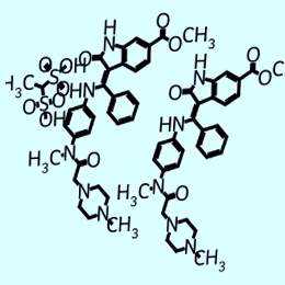 CC(S(=O)(=O)O)S(=O)(=O)O.COC(=O)c1ccc2c(c1)NC(=O)/C2=C(\Nc1ccc(N(C)C(=O)CN2CCN(C)CC2)cc1)c1ccccc1.COC(=O)c1ccc2c(c1)NC(=O)/C2=C(\Nc1ccc(N(C)C(=O)CN2CCN(C)CC2)cc1)c1ccccc1